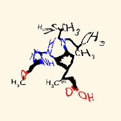 COCc1nnc(Nc2cc([C@H](C)CC(=O)O)ccc2N(CC(C)C)CC(C)C)[nH]1